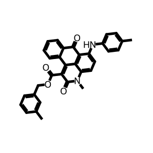 Cc1ccc(Nc2ccc3c4c2C(=O)c2ccccc2-c4c(C(=O)OCc2cccc(C)c2)c(=O)n3C)cc1